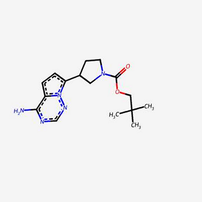 CC(C)(C)COC(=O)N1CCC(c2ccc3c(N)ncnn23)C1